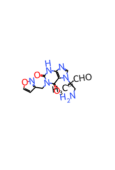 C[C@@](C=O)(CN)n1cnc2[nH]c(=O)n(Cc3ccon3)c(=O)c21